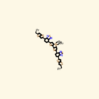 CCC(C)CS1(CC(C)CC)c2cc(-c3ccc(-c4cc5sc(CC(C)C)cc5s4)c4nsnc34)sc2-c2sc(-c3ccc(-c4cc5sc(CC(C)C)cc5s4)c4nsnc34)cc21